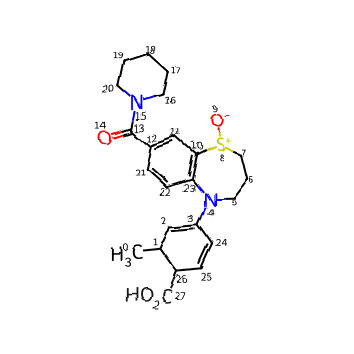 CC1C=C(N2CCC[S+]([O-])c3cc(C(=O)N4CCCCC4)ccc32)C=CC1C(=O)O